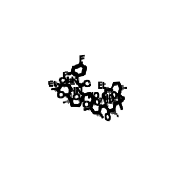 CC[C@@H](C(=O)[C@@H](C)[C@@H](O)C1(C)C[C@]12O[C@@H]([C@@H](CC)C(=O)O)CC[C@@H]2C)[C@H]1O[C@]2(C=CC(NC(=O)Nc3ccc(F)cc3F)[C@]3(CC[C@@](C)([C@H]4CC[C@](O)(CC)[C@H](C)O4)O3)O2)[C@H](C)C[C@@H]1C